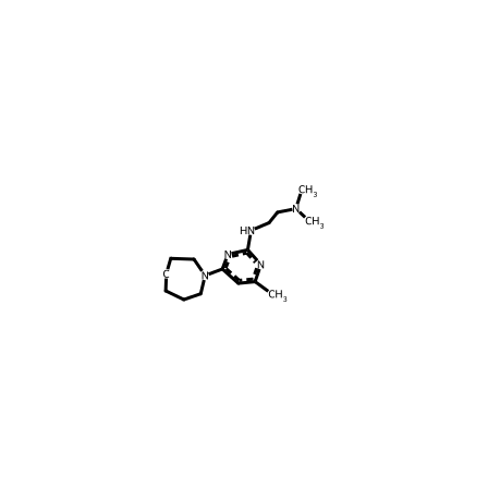 Cc1cc(N2CCCCCC2)nc(NCCN(C)C)n1